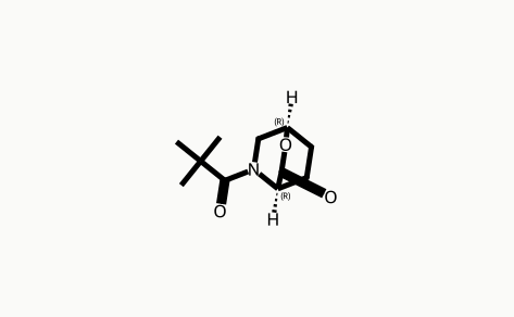 CC(C)(C)C(=O)N1C[C@H]2CC[C@@H]1C(=O)O2